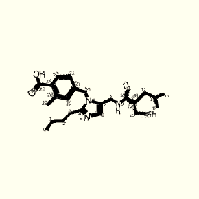 CCCCc1ncc(CNC(=O)[C@H](CS)CC(C)C)n1Cc1ccc(C(=O)O)c(C)c1